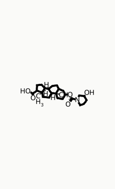 C[C@]12CCC(OC(=O)N3CCCC(O)C3)CC1CC[C@@H]1[C@@H]2CC[C@]2(C)C(C(=O)O)CC[C@@H]12